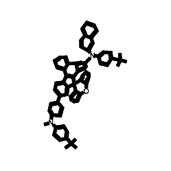 CN(c1ccc(-c2ccc3c(c2)C2(c4ccccc4Oc4ccccc42)c2c-3c3ccccc3c3cc(N(c4ccc(C(C)(C)C)cc4)c4ccc5ccccc5c4)ccc23)cc1)c1ccc(C(C)(C)C)cc1